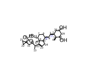 C=C1/C(=C\C=C2/CCCC3(C)C(C(C)CCC4(S(=O)(=O)C(C)(C)C)CC4)=CCC23)CC(O)CC1O